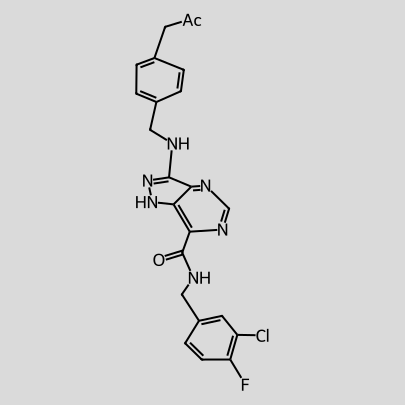 CC(=O)Cc1ccc(CNc2n[nH]c3c(C(=O)NCc4ccc(F)c(Cl)c4)ncnc23)cc1